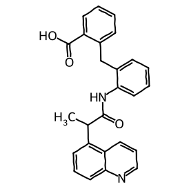 CC(C(=O)Nc1ccccc1Cc1ccccc1C(=O)O)c1cccc2ncccc12